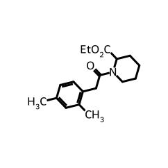 CCOC(=O)C1CCCCN1C(=O)Cc1ccc(C)cc1C